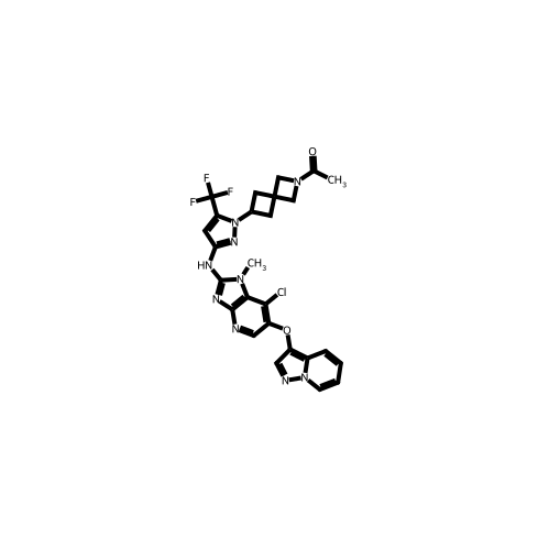 CC(=O)N1CC2(CC(n3nc(Nc4nc5ncc(Oc6cnn7ccccc67)c(Cl)c5n4C)cc3C(F)(F)F)C2)C1